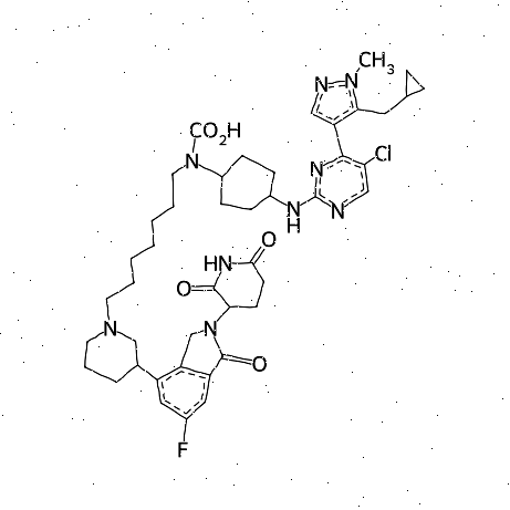 Cn1ncc(-c2nc(NC3CCC(N(CCCCCCCN4CCCC(c5cc(F)cc6c5CN(C5CCC(=O)NC5=O)C6=O)C4)C(=O)O)CC3)ncc2Cl)c1CC1CC1